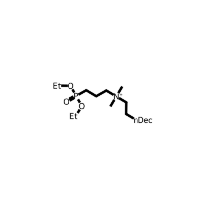 CCCCCCCCCCCC[N+](C)(C)CCCP(=O)(OCC)OCC